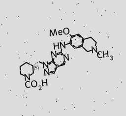 COc1cc2c(cc1Nc1ncc3cnn(C[C@H]4CCCN(C(=O)O)C4)c3n1)CN(C)CC2